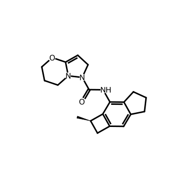 C[C@@H]1Cc2cc3c(c(NC(=O)N4CC=C5OCCCN54)c21)CCC3